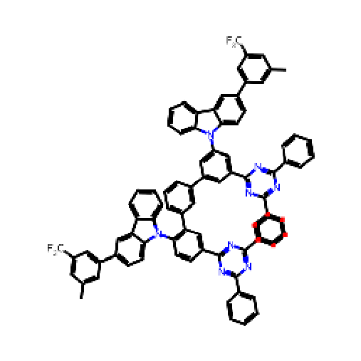 Cc1cc(-c2ccc3c(c2)c2ccccc2n3-c2cc(-c3cccc(-c4cc(-c5nc(-c6ccccc6)nc(-c6ccccc6)n5)ccc4-n4c5ccccc5c5cc(-c6cc(C)cc(C(F)(F)F)c6)ccc54)c3)cc(-c3nc(-c4ccccc4)nc(-c4ccccc4)n3)c2)cc(C(F)(F)F)c1